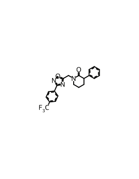 O=C1C(c2ccccc2)CCCN1Cc1nc(-c2ccc(C(F)(F)F)cc2)no1